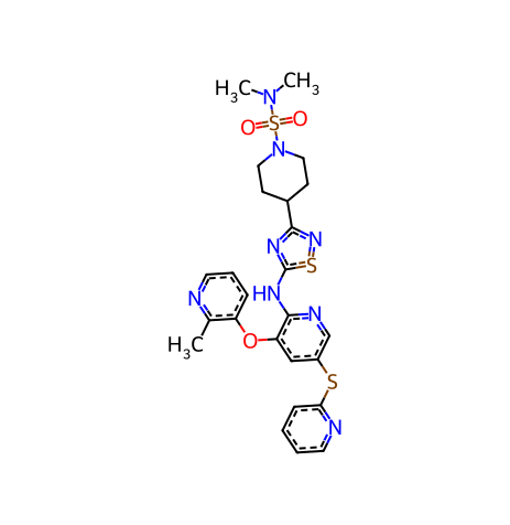 Cc1ncccc1Oc1cc(Sc2ccccn2)cnc1Nc1nc(C2CCN(S(=O)(=O)N(C)C)CC2)ns1